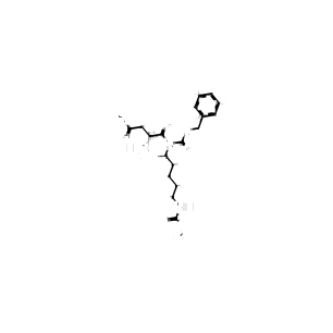 CC(C)(C)OC(=O)NCCCC[C@@H](C(=O)O)N(C(=O)OCc1ccccc1)C(=O)[C@@H](N)CC(N)=O